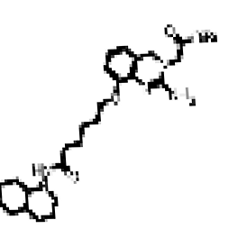 CC(C)COC(=O)CN1Cc2cccc(OCCCCCC(=O)NN3CCCC4CCCCC43)c2N=C1N